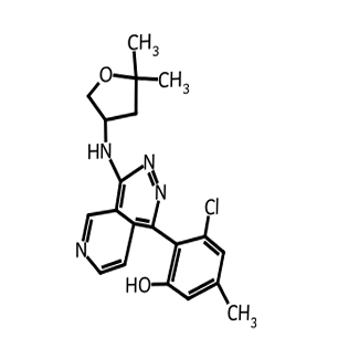 Cc1cc(O)c(-c2nnc(NC3COC(C)(C)C3)c3cnccc23)c(Cl)c1